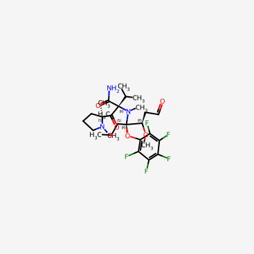 CC[C@H](C)[C@@](Oc1c(F)c(F)c(F)c(F)c1F)([C@@H](CC=O)OC)N(C)[C@@](C(N)=O)(C(=O)[C@]1(C)CCCN1C)C(C)C